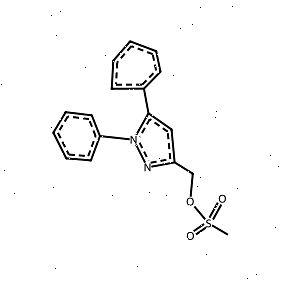 CS(=O)(=O)OCc1cc(-c2ccccc2)n(-c2ccccc2)n1